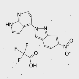 O=C(O)C(F)(F)F.O=[N+]([O-])c1ccc2cn(-c3ccnc4[nH]ccc34)nc2c1